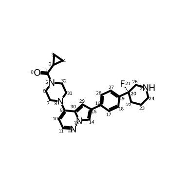 O=C(C1CC1)N1CCN(c2ccnn3cc(-c4ccc([C@]5(F)CCCNC5)cc4)cc23)CC1